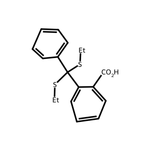 CCSC(SCC)(c1ccccc1)c1ccccc1C(=O)O